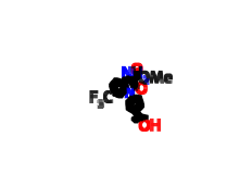 COC(=O)c1c(N)c2ccc(C(F)(F)F)cc2n(-c2ccc(C(C)CO)cc2)c1=O